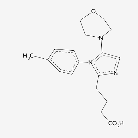 Cc1ccc(-n2c(N3CCOCC3)cnc2CCCC(=O)O)cc1